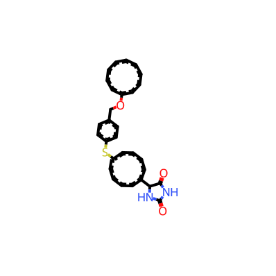 O=C1NC(=O)C(c2ccccc(Sc3ccc(COc4ccccccccc4)cc3)cccc2)N1